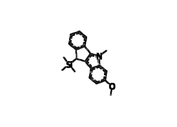 COc1ccc2c3c(n(C)c2c1)-c1ccccc1C3[Si](C)(C)C